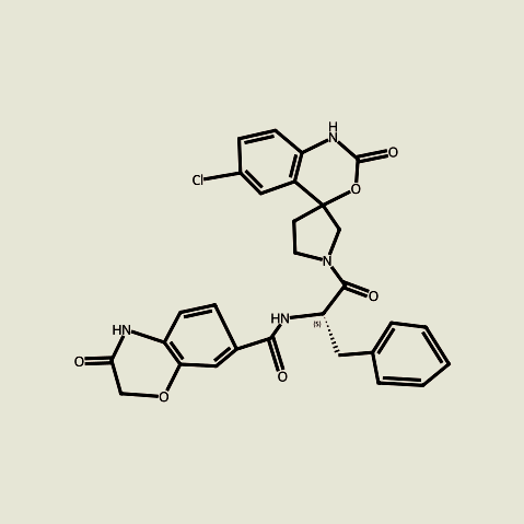 O=C1COc2cc(C(=O)N[C@@H](Cc3ccccc3)C(=O)N3CCC4(C3)OC(=O)Nc3ccc(Cl)cc34)ccc2N1